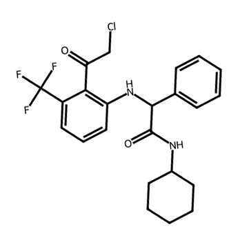 O=C(CCl)c1c(NC(C(=O)NC2CCCCC2)c2ccccc2)cccc1C(F)(F)F